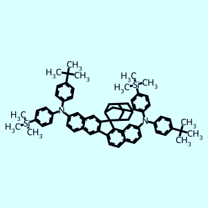 CC(C)(C)c1ccc(N(c2ccc([Si](C)(C)C)cc2)c2ccc3cc4c(cc3c2)C2(c3c-4ccc4ccc(N(c5ccc(C(C)(C)C)cc5)c5ccc([Si](C)(C)C)cc5)cc34)C3CC4CC(C3)CC2C4)cc1